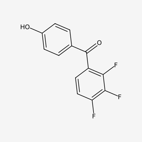 O=C(c1ccc(O)cc1)c1ccc(F)c(F)c1F